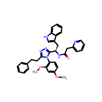 COc1ccc(-n2c(CCc3ccccc3)nnc2[C@@H](Cc2c[nH]c3ccccc23)NC(=O)Cc2ccccn2)c(OC)c1